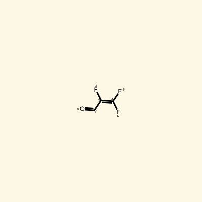 O=[C]C(F)=C(F)F